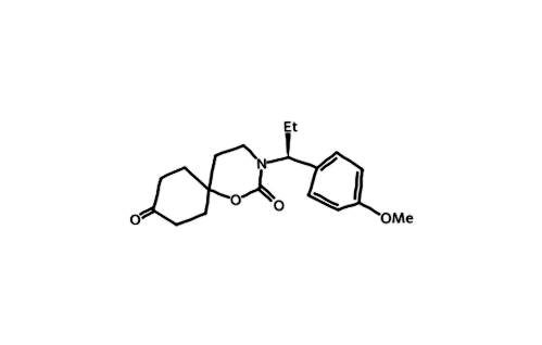 CC[C@@H](c1ccc(OC)cc1)N1CCC2(CCC(=O)CC2)OC1=O